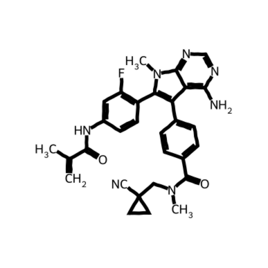 C=C(C)C(=O)Nc1ccc(-c2c(-c3ccc(C(=O)N(C)CC4(C#N)CC4)cc3)c3c(N)ncnc3n2C)c(F)c1